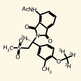 [2H]C([2H])([2H])Oc1ccc([C@@]([2H])(CS(C)(=O)=O)N2C(=O)c3cccc(NC(C)=O)c3C2=O)cc1C